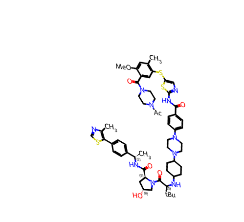 COc1cc(C)c(Sc2cnc(NC(=O)c3ccc(N4CCN(C5CCC(N[C@H](C(=O)N6C[C@H](O)C[C@H]6C(=O)N[C@@H](C)c6ccc(-c7scnc7C)cc6)C(C)(C)C)CC5)CC4)cc3)s2)cc1C(=O)N1CCN(C(C)=O)CC1